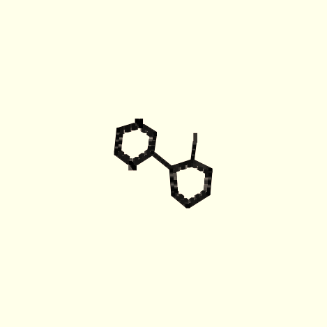 Ic1ccccc1-c1cnccn1